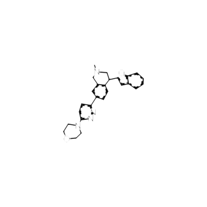 CN1Cc2cc(-c3ccc(N4CCOCC4)nn3)ccc2C(c2cc3ccccc3o2)C1